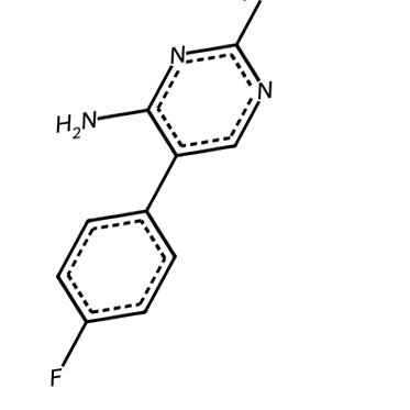 CC(C)Nc1ncc(-c2ccc(F)cc2)c(N)n1